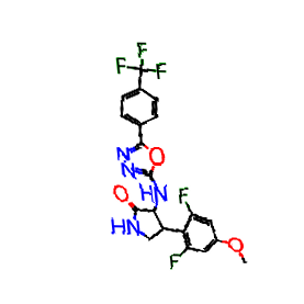 COc1cc(F)c(C2CNC(=O)C2Nc2nnc(-c3ccc(C(F)(F)F)cc3)o2)c(F)c1